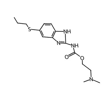 CCCSc1ccc2[nH]c(NC(=O)OCCN(C)C)nc2c1